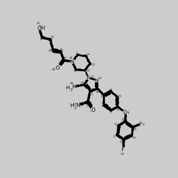 NC(=O)c1c(-c2ccc(Oc3ccc(F)cc3F)cc2)nn([C@@H]2CCCN(C(=O)/C=C/CCO)C2)c1N